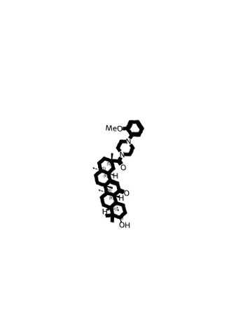 COc1ccccc1N1CCN(C(=O)[C@@]2(C)CC[C@]3(C)CC[C@]4(C)C(=CC(=O)[C@@H]5[C@@]6(C)CC[C@H](O)C(C)(C)[C@@H]6CC[C@]54C)[C@@H]3C2)CC1